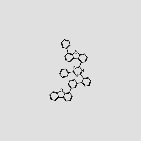 c1ccc(-c2nc(-c3ccccc3-c3cccc(-c4cccc5c4oc4ccccc45)c3)nc(-c3cccc4sc5c(-c6ccccc6)cccc5c34)n2)cc1